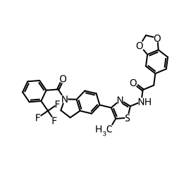 Cc1sc(NC(=O)Cc2ccc3c(c2)OCO3)nc1-c1ccc2c(c1)CCN2C(=O)c1ccccc1C(F)(F)F